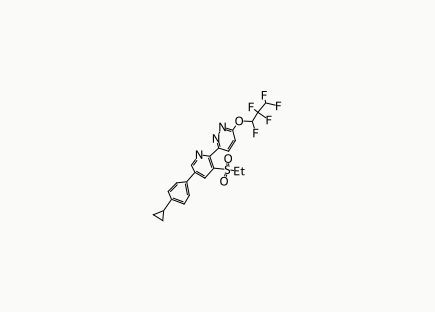 CCS(=O)(=O)c1cc(-c2ccc(C3CC3)cc2)cnc1-c1ccc(OC(F)C(F)(F)C(F)F)nn1